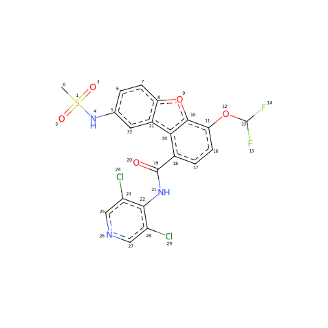 CS(=O)(=O)Nc1ccc2oc3c(OC(F)F)ccc(C(=O)Nc4c(Cl)cncc4Cl)c3c2c1